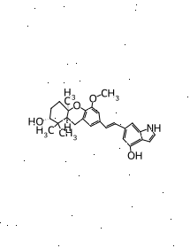 COc1cc(/C=C/c2cc(O)c3cc[nH]c3c2)cc2c1O[C@]1(C)CC[C@@H](O)C(C)(C)[C@H]1C2